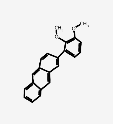 COc1cccc(-c2ccc3cc4ccccc4cc3c2)c1OC